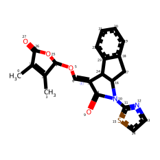 CC1=C(C)C(O/C=C2/C(=O)N(c3nccs3)C3Cc4ccccc4C23)OC1=O